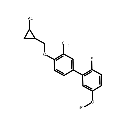 CC(=O)C1CC1COc1ccc(-c2cc(OC(C)C)ccc2F)cc1C